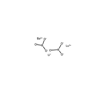 [Ba+2].[Li+].[Lu+3].[O-]B([O-])[O-].[O-]B([O-])[O-]